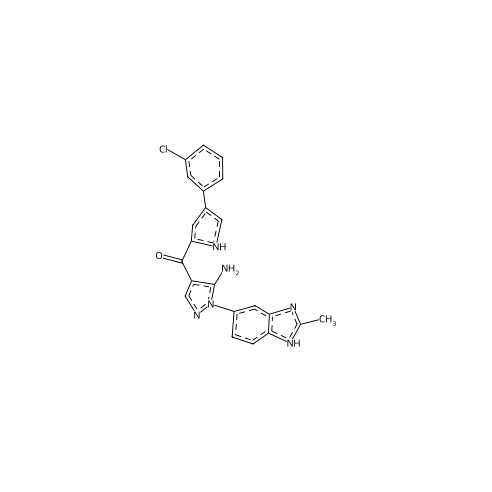 Cc1nc2cc(-n3ncc(C(=O)c4cc(-c5cccc(Cl)c5)c[nH]4)c3N)ccc2[nH]1